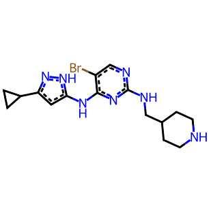 Brc1cnc(NCC2CCNCC2)nc1Nc1cc(C2CC2)n[nH]1